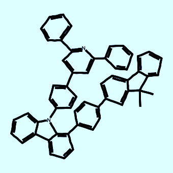 CC1(C)c2ccccc2-c2ccc(-c3ccc(-c4cccc5c6ccccc6n(-c6ccc(-c7cc(-c8ccccc8)nc(-c8ccccc8)c7)cc6)c45)cc3)cc21